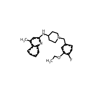 CCOc1cc(CN2CCC(Nc3cc(C)c4ccccc4n3)CC2)ccc1F